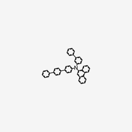 c1ccc(-c2ccc(-c3ccc(N(c4cccc(-c5ccccc5)c4)c4cc5ccccc5c5ccccc45)cc3)cc2)cc1